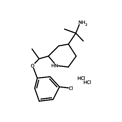 CC(Oc1cccc(Cl)c1)C1CC(C(C)(C)N)CCN1.Cl.Cl